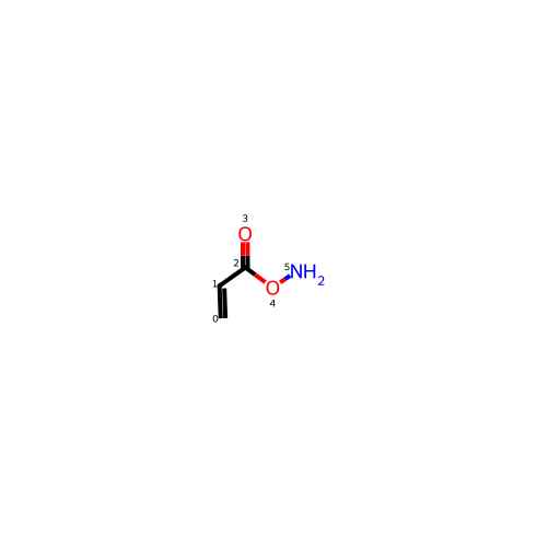 C=CC(=O)ON